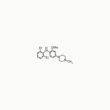 CCc1cccc(CC)c1Nc1ccc(N2CCN(C)CC2)cc1OC